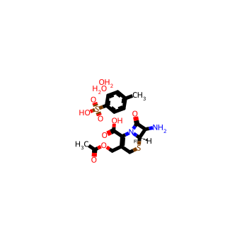 CC(=O)OCC1=C(C(=O)O)N2C(=O)C(N)[C@H]2SC1.Cc1ccc(S(=O)(=O)O)cc1.O.O